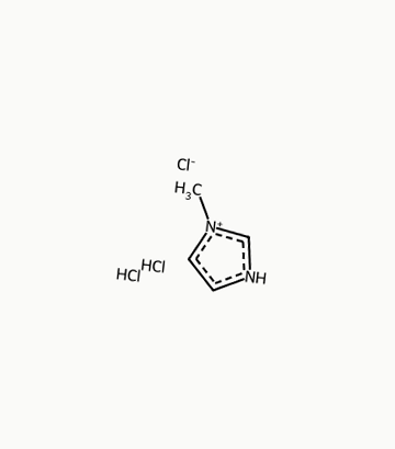 C[n+]1cc[nH]c1.Cl.Cl.[Cl-]